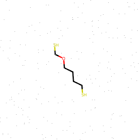 SCCCCOCS